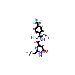 CCc1nc(C(=O)NC(C)(C)c2ccc(C(F)(F)F)cc2)cc(=O)[nH]1